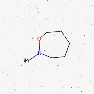 CC(C)N1CCCCCO1